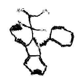 CC(C)C1(C)N=CC=C2c3ccccc3N(c3ccccc3)C21